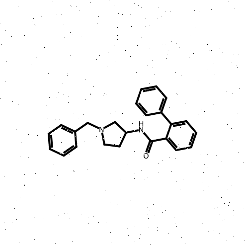 O=C(NC1CCN(Cc2ccccc2)C1)c1ccccc1-c1ccccc1